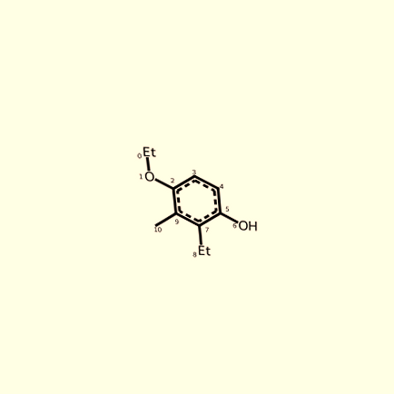 CCOc1ccc(O)c(CC)c1C